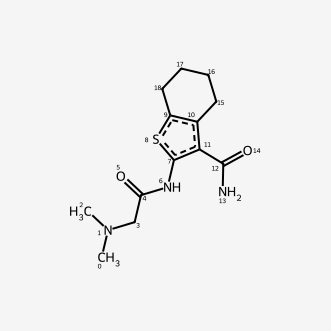 CN(C)CC(=O)Nc1sc2c(c1C(N)=O)CCCC2